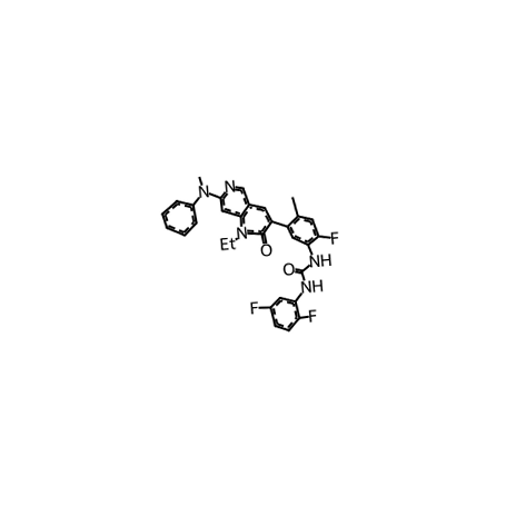 CCn1c(=O)c(-c2cc(NC(=O)Nc3cc(F)ccc3F)c(F)cc2C)cc2cnc(N(C)c3ccccc3)cc21